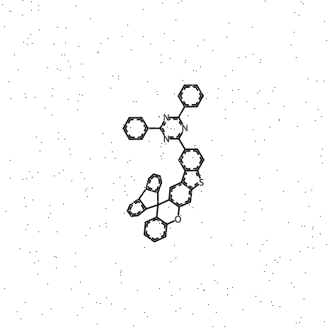 c1ccc(-c2nc(-c3ccccc3)nc(-c3ccc4sc5cc6c(cc5c4c3)C3(c4ccccc4O6)c4ccccc4-c4ccccc43)n2)cc1